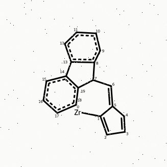 [Zr][C]1=CC=CC1=CC1c2ccccc2-c2ccccc21